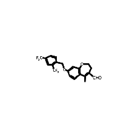 CC1=C(C=O)CCOc2cc(OCc3ccc(C(F)(F)F)cc3C(F)(F)F)ccc21